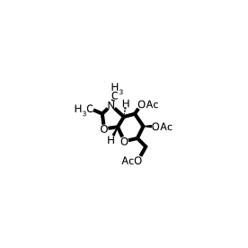 CC(=O)OCC1O[C@@H]2OC(C)N(C)[C@H]2C(OC(C)=O)[C@H]1OC(C)=O